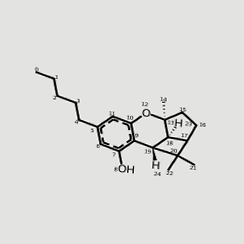 CCCCCc1cc(O)c2c(c1)O[C@@]1(C)CCC3[C@H]1[C@@H]2C3(C)C